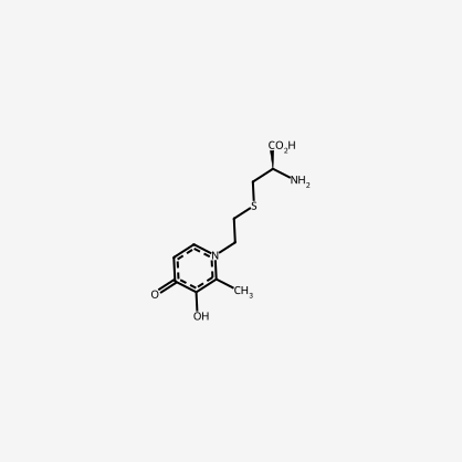 Cc1c(O)c(=O)ccn1CCSC[C@H](N)C(=O)O